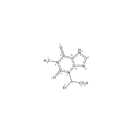 CCC(C(=O)O)n1c(=O)n(C)c(=O)c2[nH]cnc21